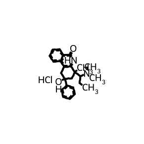 CCC(N(C)C)C1(C)CC(O)(c2ccccc2)Cc2c1[nH]c(=O)c1ccccc21.Cl